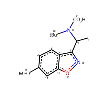 COc1ccc2c(C(C)N(C(=O)O)C(C)(C)C)noc2c1